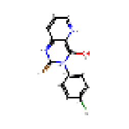 Oc1c2ncccc2nc(=S)n1-c1ccc(F)cc1